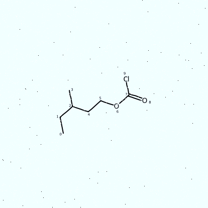 CCC(C)CCOC(=O)Cl